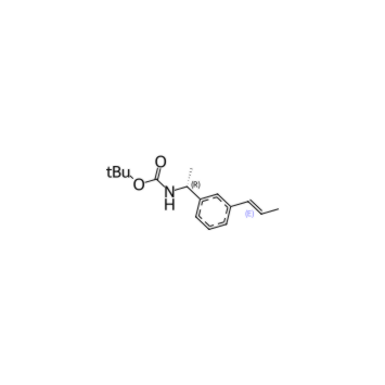 C/C=C/c1cccc([C@@H](C)NC(=O)OC(C)(C)C)c1